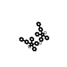 O=C1C(c2ccc(-c3ccccc3)cc2)=C(c2ccccc2)C(c2ccc(Oc3ccc(C4=C(c5ccccc5)C(=O)C(c5ccc(-c6ccccc6)cc5)=C4c4ccccc4)cc3)cc2)=C1c1ccccc1